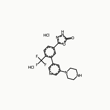 Cl.Cl.O=c1[nH]nc(-c2ccc(C(F)(F)F)c(-c3cncc(N4CCNCC4)c3)c2)o1